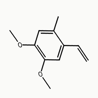 C=Cc1cc(OC)c(OC)cc1C